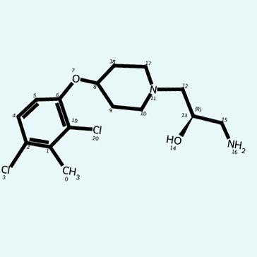 Cc1c(Cl)ccc(OC2CCN(C[C@H](O)CN)CC2)c1Cl